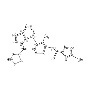 Cc1c(NC(=O)c2noc(C(C)(C)C)n2)cccc1-c1ccnc2[nH]nc(NC3CCNC3)c12